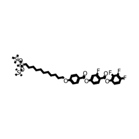 C[Si](C)(C)O[Si](C)(CCCCCCCCCCCOc1ccc(C(=O)Oc2ccc(C(=O)Oc3ccc(F)c(F)c3F)c(F)c2)cc1)O[Si](C)(C)C